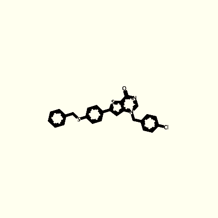 O=c1ncn(Cc2ccc(Cl)cc2)c2cc(-c3ccc(SCc4ccccc4)cc3)sc12